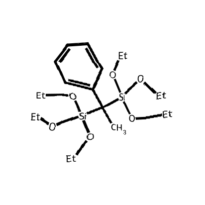 CCO[Si](OCC)(OCC)C(C)(c1ccccc1)[Si](OCC)(OCC)OCC